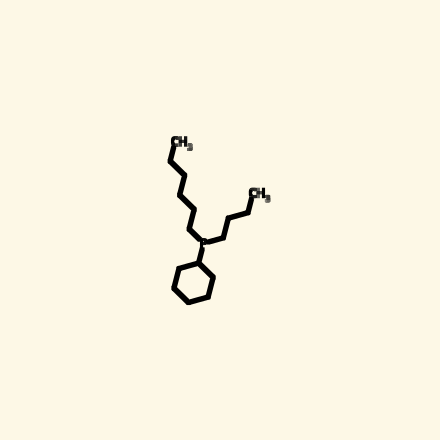 CCCCCCP(CCCC)C1CCCCC1